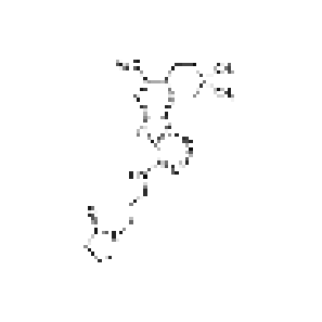 COc1nc2oc3c(NCCCN4CCCC4=O)ncnc3c2c2c1CCC(C)(C)C2